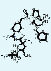 CC(CC(C)(C)C(=O)/N=C(/N)N1CCC(CNC(=O)[C@@H]2CCCN2C(=O)[C@@H](Cc2ccccc2)NS(C)(=O)=O)CC1)OC(=O)C(C)(C)C